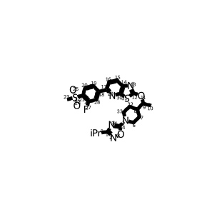 CC(C)c1noc(N2CCC(C(C)Oc3nc4ccc(-c5ccc(S(C)(=O)=O)c(F)c5)nc4s3)CC2)n1